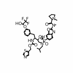 CC(C)CN(CC(O)C(Cc1ccccc1)NC(=O)OCc1cncs1)S(=O)(=O)c1ccc2nc(N(C)C(=O)C3CCCN3C)oc2c1.O=C(O)C(F)(F)F